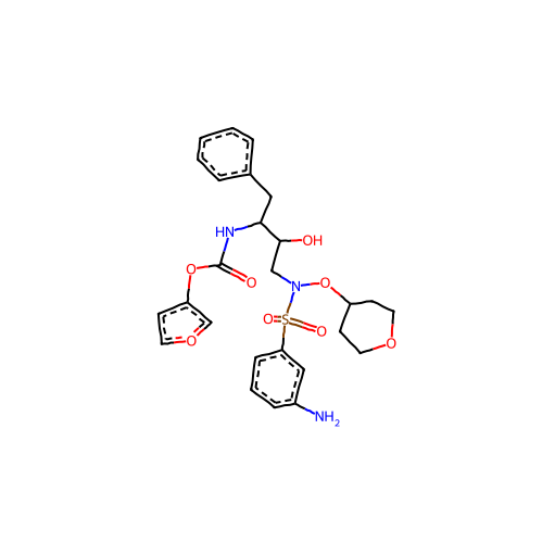 Nc1cccc(S(=O)(=O)N(CC(O)C(Cc2ccccc2)NC(=O)Oc2ccoc2)OC2CCOCC2)c1